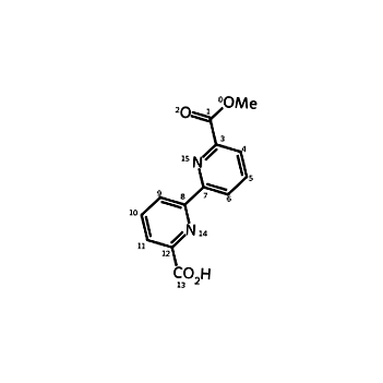 COC(=O)c1cccc(-c2cccc(C(=O)O)n2)n1